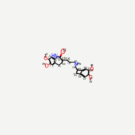 COc1cc2c(cc1OC)NC(=O)C(CCCN(C)CC1Cc3cc(OC)c(OC)cc31)CC2